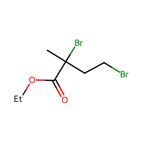 CCOC(=O)C(C)(Br)CCBr